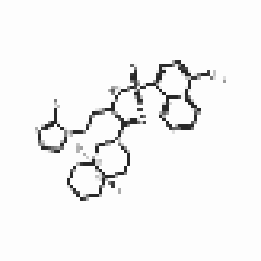 Cc1ccc(S(=O)(=O)NC(CCn2ccnc2Cl)C(=O)N2CC[C@@H]3CCCC[C@H]3C2)c2ccccc12